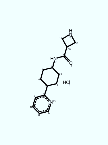 Cl.O=C(NC1CCC(c2ccccn2)CC1)C1CNC1